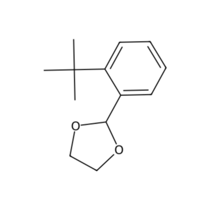 CC(C)(C)c1ccccc1C1OCCO1